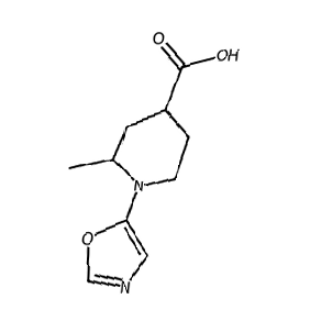 CC1CC(C(=O)O)CCN1c1cnco1